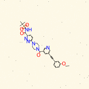 CCOc1cccc(C#Cc2cncc(C(=O)N3CCN(c4ccc(C(=O)NS(=O)(=O)C(C)(C)C)nn4)CC3)c2)c1